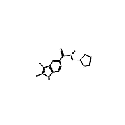 Cc1[nH]c2ccc(C(=O)N(C)CC3CCCO3)cc2c1C